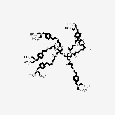 CC(CSCCC(=O)OCC(COCC(COC(=O)CCSCCc1ccc(CN(CC(=O)O)CC(=O)O)cc1)(COC(=O)CCSCCc1ccc(CN(CC(=O)O)CC(=O)O)cc1)COC(=O)CCSCCc1ccc(CN(CC(=O)O)CC(=O)O)cc1)(COC(=O)CCSCCc1ccc(CN(CC(=O)O)CC(=O)O)cc1)COC(=O)CCSCCc1ccc(CN(CC(=O)O)CC(=O)O)cc1)C(=O)NCC(N)=O